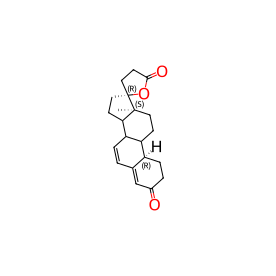 C[C@]12CCC3C(C=CC4=CC(=O)CC[C@@H]43)C1CC[C@@]21CCC(=O)O1